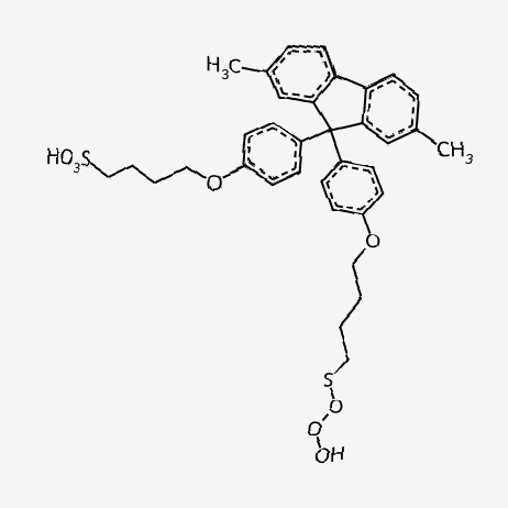 Cc1ccc2c(c1)C(c1ccc(OCCCCSOOO)cc1)(c1ccc(OCCCCS(=O)(=O)O)cc1)c1cc(C)ccc1-2